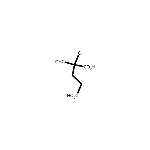 O=CC(Cl)(CCC(=O)O)C(=O)O